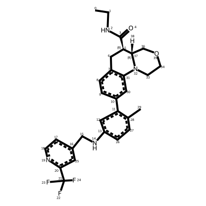 CCNC(=O)[C@@H]1Cc2ccc(-c3cc(NCc4ccnc(C(F)(F)F)c4)ccc3C)cc2N2CCOC[C@@H]12